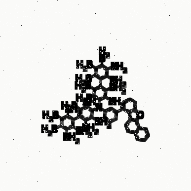 Bc1c(B)c(B)c(-c2c(B)c(B)c(N(c3cccc(-c4cccc5oc6c7ccccc7ccc6c45)c3)c3c(B)c(B)c(-c4c(B)c(B)c(B)c(B)c4B)c(B)c3B)c(B)c2B)c(B)c1B